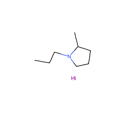 CCCN1CCCC1C.I